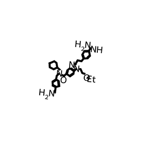 CCOCCCn1c(CCc2ccc(C(=N)N)cc2)nc2cc(C(=O)N(Cc3ccc(CN)cc3)CC3CCCCC3)ccc21